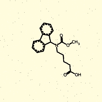 COC(=O)N(CCCCC(=O)O)C1c2ccccc2-c2ccccc21